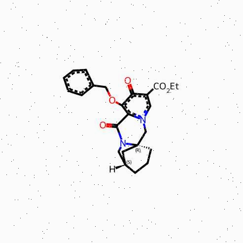 CCOC(=O)c1cn2c(c(OCc3ccccc3)c1=O)C(=O)N1C[C@H]3CCC[C@@]1(C3)C2